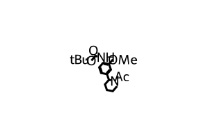 COc1cc(C2CCCCN2C(C)=O)ccc1NC(=O)OC(C)(C)C